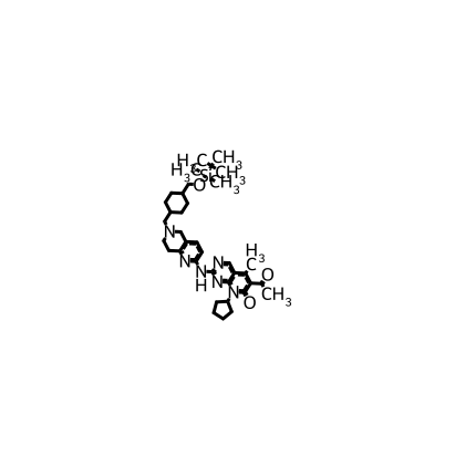 CC(=O)c1c(C)c2cnc(Nc3ccc4c(n3)CCN(CC3CCC(CO[Si](C)(C)C(C)(C)C)CC3)C4)nc2n(C2CCCC2)c1=O